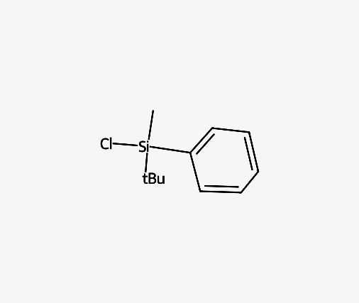 CC(C)(C)[Si](C)(Cl)c1ccccc1